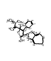 O=C(N(O)O)C1(O)OC(O)=C(N2Sc3ccccc3S2)C1c1ccccc1